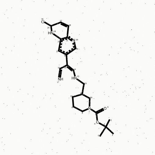 CC(C)(C)OC(=O)N1CCCC(CN/C=C(\C=N)c2cnc3c(c2)NC(Cl)C=C3)C1